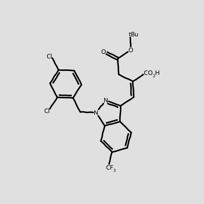 CC(C)(C)OC(=O)CC(=Cc1nn(Cc2ccc(Cl)cc2Cl)c2cc(C(F)(F)F)ccc12)C(=O)O